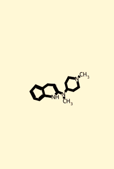 CN1CCC(N(C)C2=[C]Cc3ccccc3N2)CC1